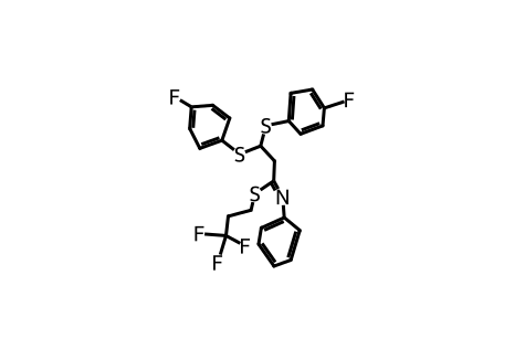 Fc1ccc(SC(CC(=Nc2ccccc2)SCCC(F)(F)F)Sc2ccc(F)cc2)cc1